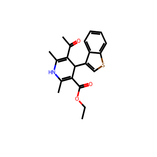 CCOC(=O)C1=C(C)NC(C)=C(C(C)=O)C1c1csc2ccccc12